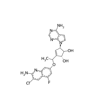 CC(Oc1cc(F)c2cc(Cl)c(N)nc2c1)C1=C[C@@H](n2ccc3c(N)ncnc32)C(O)[C@@H]1O